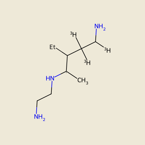 [3H]C(N)C([3H])([3H])C(CC)[C](C)NCCN